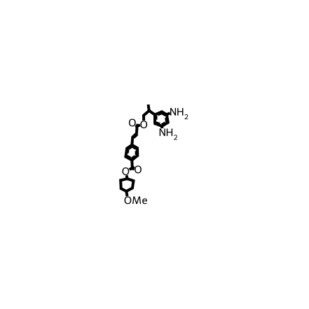 COC1CCC(OC(=O)c2ccc(/C=C/C(=O)OCC(C)c3cc(N)cc(N)c3)cc2)CC1